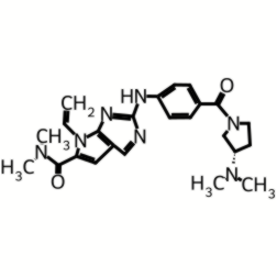 C=Cn1c(C(=O)N(C)C)cc2cnc(Nc3ccc(C(=O)N4CC[C@H](N(C)C)C4)cc3)nc21